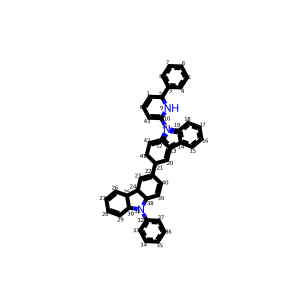 C1=CC(c2ccccc2)NC(n2c3c(c4ccccc42)=CC(C2=CC4C5C=CC=CC5N(c5ccccc5)C4C=C2)CC=3)=C1